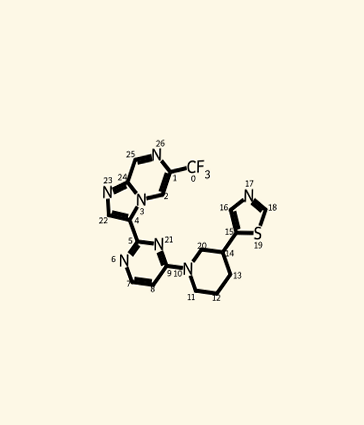 FC(F)(F)c1cn2c(-c3nccc(N4CCCC(c5cncs5)C4)n3)cnc2cn1